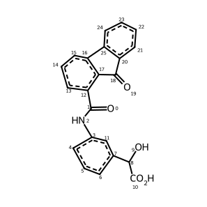 O=C(Nc1cccc(C(O)C(=O)O)c1)c1cccc2c1C(=O)c1ccccc1-2